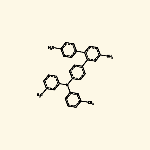 Cc1cccc(N(c2ccc(-c3cc(N)ccc3-c3ccc(N)cc3)cc2)c2cccc(C)c2)c1